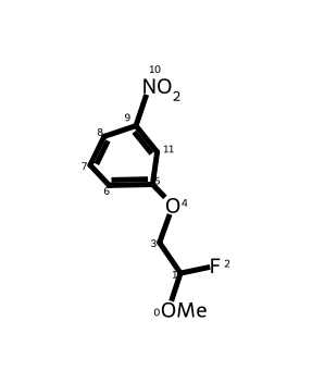 COC(F)COc1cccc([N+](=O)[O-])c1